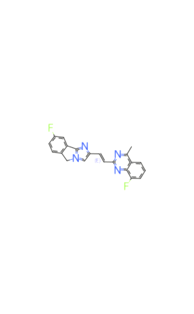 Cc1nc(/C=C/c2cn3c(n2)-c2cc(F)ccc2C3)nc2c(F)cccc12